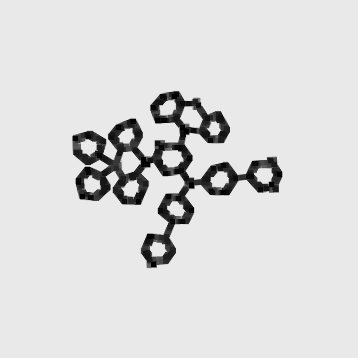 c1ccc([Si]2(c3ccccc3)c3ccccc3N(c3cc(N(c4ccc(-c5ccncc5)cc4)c4ccc(-c5cncnc5)cc4)cc(N4c5ccccc5Sc5ccccc54)n3)c3ccccc32)cc1